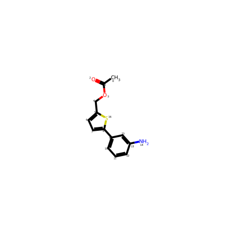 CC(=O)OCc1ccc(-c2cccc(N)c2)s1